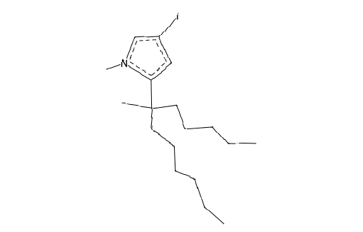 CCCCCCC(C)(CCCCC)c1cc(I)cn1C